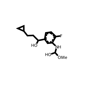 COC(O)Nc1cc(C(O)CCC2CC2)ccc1F